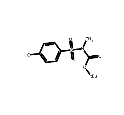 Cc1ccc(S(=O)(=O)N(C)C(=O)OC(C)(C)C)cc1